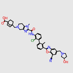 Cc1c(-c2nc3cc(CN4CC[C@@H](O)C4)cc(C#N)c3o2)cccc1-c1cccc(NC(=O)c2nc3c(n2C)CCN(CC24CCC(C(=O)O)(CC2)C4)C3)c1Cl